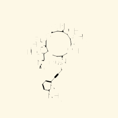 CC[C@@H](C)/C(=N\C(C)=O)[C@H](C)[C@H]1CC/C(=N\OCC#Cc2cccc(N)n2)CO[C@H](C)[C@H](C)[C@@H](C)C(=O)[C@@H](C)C(=O)O[C@H](CC)[C@@]1(C)O